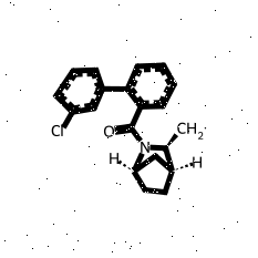 [CH2][C@H]1[C@H]2CC[C@H](C2)N1C(=O)c1ccccc1-c1cccc(Cl)c1